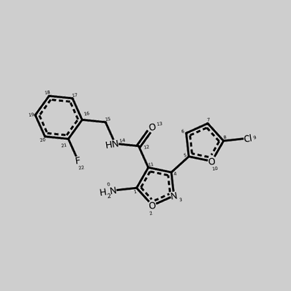 Nc1onc(-c2ccc(Cl)o2)c1C(=O)NCc1ccccc1F